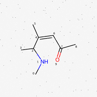 CNC(C)/C(C)=C\C(C)=O